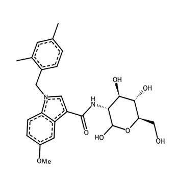 COc1ccc2c(c1)c(C(=O)N[C@H]1C(O)O[C@H](CO)[C@@H](O)[C@@H]1O)cn2Cc1ccc(C)cc1C